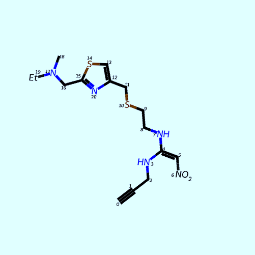 C#CCNC(=C[N+](=O)[O-])NCCSCc1csc(CN(C)CC)n1